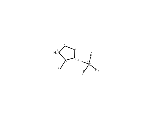 CC1CCC[NH2+]1.F[B-](F)(F)F